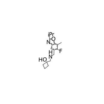 Cc1c(F)c(CNCC2(O)CCC2)cc2nc(C(C)C)oc12